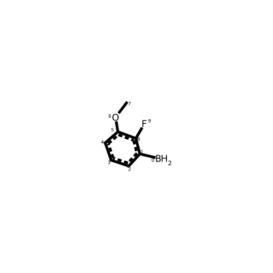 Bc1cccc(OC)c1F